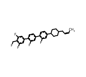 C/C=C\CC1CCC(c2ccc(-c3ccc(-c4cc(F)c(CF)c(F)c4)c(F)c3)c(F)c2)CC1